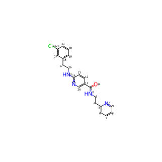 O=C(NCCc1ccccn1)c1ccc(NCCc2cccc(Cl)c2)nc1